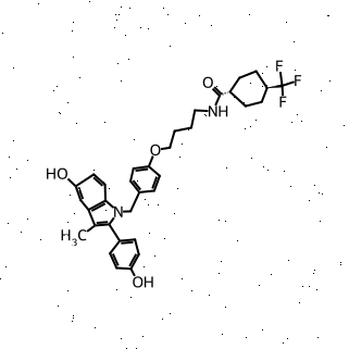 Cc1c(-c2ccc(O)cc2)n(Cc2ccc(OCCCCNC(=O)[C@H]3CC[C@H](C(F)(F)F)CC3)cc2)c2ccc(O)cc12